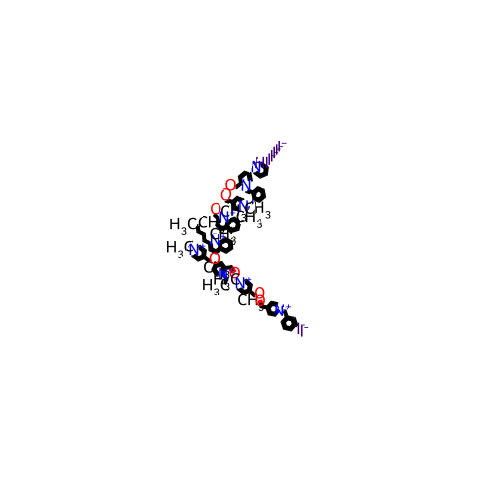 CC(=O)c1cc[n+](C)cc1.CC(C)CCCc1ccc2ccccc2[n+]1C.CC[n+]1ccccc1C=O.C[n+]1c(C=O)ccc2ccccc21.Cc1c[n+](C)ccc1C=O.Cc1cc(C=O)cc[n+]1C.I.O=CC1C=CC=CN1Cc1ccccc1.O=Cc1cc[n+](Cc2ccccc2)cc1.[I-].[I-].[I-].[I-].[I-].[I-].[I-].c1ccncc1